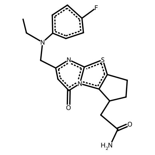 CCN(Cc1cc(=O)n2c3c(sc2n1)CCC3CC(N)=O)c1ccc(F)cc1